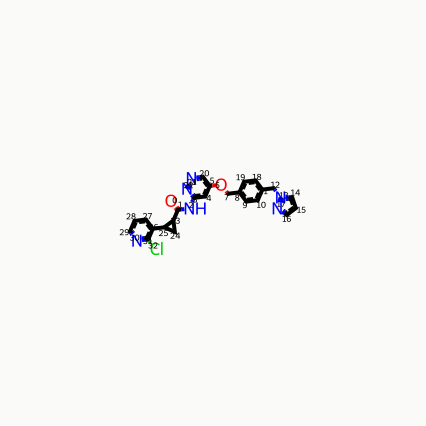 O=C(Nc1cc(OCc2ccc(Cn3cccn3)cc2)cnn1)C1CC1c1cccnc1Cl